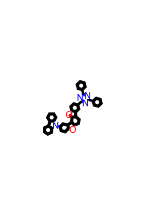 c1ccc(-c2nc(-c3ccccc3)nc(-c3ccc4oc5c(ccc6oc7ccc(-n8c9ccccc9c9ccccc98)cc7c65)c4c3)n2)cc1